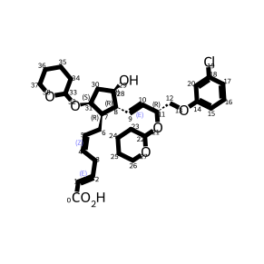 O=C(O)/C=C/C/C=C\C[C@@H]1[C@@H](/C=C/[C@H](COc2cccc(Cl)c2)OC2CCCCO2)[C@H](O)C[C@@H]1OC1CCCCO1